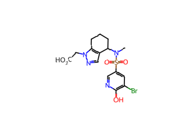 CN(C1CCCc2c1cnn2CC(=O)O)S(=O)(=O)c1cnc(O)c(Br)c1